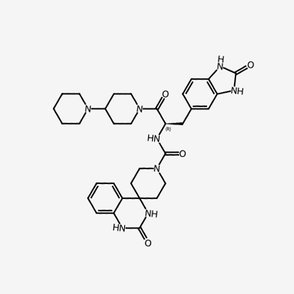 O=C1Nc2ccccc2C2(CCN(C(=O)N[C@H](Cc3ccc4[nH]c(=O)[nH]c4c3)C(=O)N3CCC(N4CCCCC4)CC3)CC2)N1